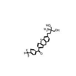 NC(CO)(CO)CCc1ccc2c(c1)Sc1ccc(C(=O)c3ccc(C(F)(F)F)cc3)cc1C2